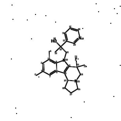 Cc1cc(C)c2c(c1)c1c(n2CC(C)(O)c2cccnc2)C(C)(F)CN2CCCC12